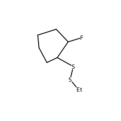 CCSSC1CCCCC1F